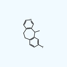 CC1c2cnccc2CCc2ccc(F)cc21